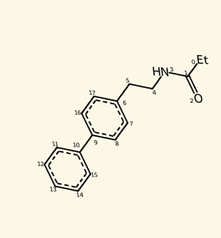 CCC(=O)NCCc1ccc(-c2ccccc2)cc1